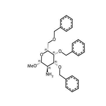 CO[C@@H]1O[C@H](COCc2ccccc2)[C@H](OCc2ccccc2)[C@H](OCc2ccccc2)[C@H]1N